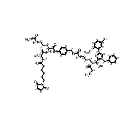 CC(C)[C@H](NC(=O)CCCCCN1C(=O)C=CC1=O)C(=O)N[C@@H](CCCNC(N)=O)C(=O)Nc1ccc(COC(=O)N[C@H](CF)CCN(C(=O)CN)[C@@H](c2nc(-c3cc(F)ccc3F)cn2Cc2ccccc2)C(C)(C)C)cc1